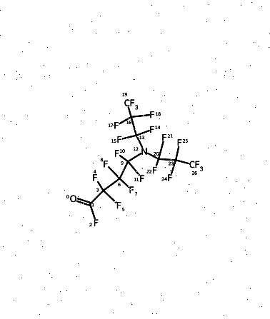 O=C(F)C(F)(F)C(F)(F)C(F)(F)N(C(F)(F)C(F)(F)C(F)(F)F)C(F)(F)C(F)(F)C(F)(F)F